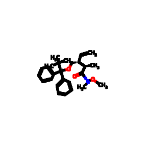 C=C[C@@H](CO[Si](c1ccccc1)(c1ccccc1)C(C)(C)C)[C@@H](C)C(=O)N(C)OC